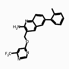 Cc1ccccc1-c1ccc2nc(N)c(COc3cc(C(F)(F)F)ncn3)cc2c1